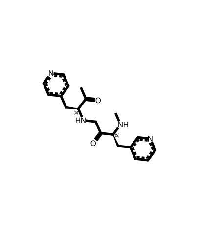 CN[C@@H](Cc1cccnc1)C(=O)CN[C@@H](Cc1ccncc1)C(C)=O